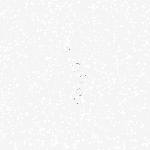 N[C@@H](CO)COc1cc(Cl)c(-c2nnc(-c3cn4cc(C(F)(F)F)ccc4n3)s2)cc1F